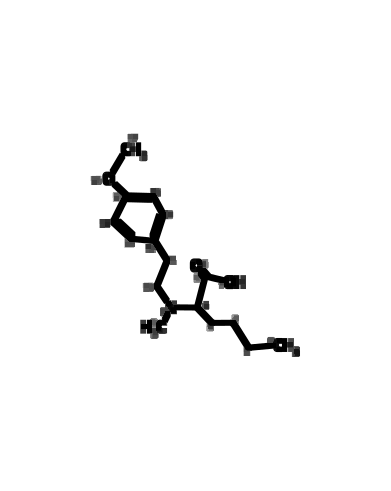 CCCCC(C(=O)O)N(C)CCc1ccc(OC)cc1